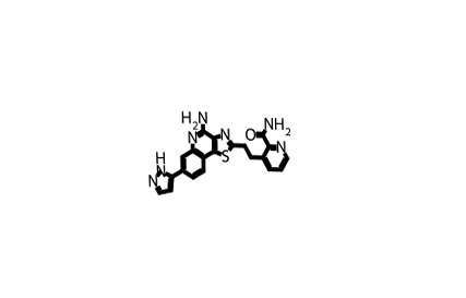 NC(=O)c1ncccc1CCc1nc2c(N)nc3cc(-c4ccn[nH]4)ccc3c2s1